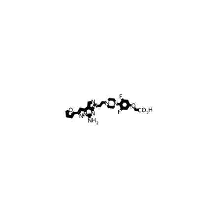 Nc1nc2c(cnn2CCN2CCN(c3c(F)cc(OCC(=O)O)cc3F)CC2)c2cc(-c3ccco3)nn12